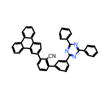 N#Cc1c(-c2cccc(-c3nc(-c4ccccc4)nc(-c4ccccc4)n3)c2)cccc1-c1ccc2c3ccccc3c3ccccc3c2c1